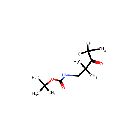 CC(C)(C)OC(=O)NCC(C)(C)C(=O)C(C)(C)C